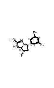 Fc1cc(F)cc([C@@H]2C[C@H](F)C3NC(S)=NN32)c1